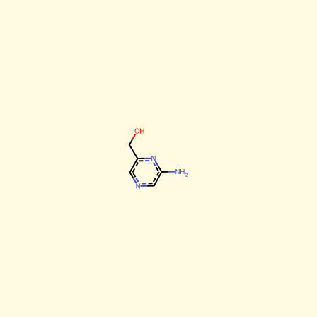 Nc1cncc(CO)n1